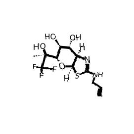 C=CCNC1=N[C@@H]2[C@@H](O)[C@H](O)[C@@H]([C@](C)(O)C(F)(F)F)O[C@@H]2S1